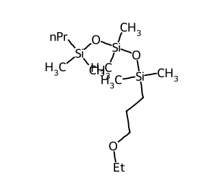 CCC[Si](C)(C)O[Si](C)(C)O[Si](C)(C)CCCOCC